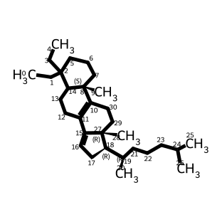 CCC1(CC)CCC[C@]2(C)C3=C(CCC12)C1=CC[C@H]([C@H](C)CCCC(C)C)[C@@]1(C)CC3